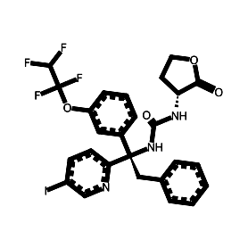 O=C(N[C@@H]1CCOC1=O)N[C@@](Cc1ccccc1)(c1cccc(OC(F)(F)C(F)F)c1)c1ccc(I)cn1